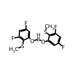 CSc1c(F)cc(F)cc1OBOc1cc(F)cc(F)c1SC